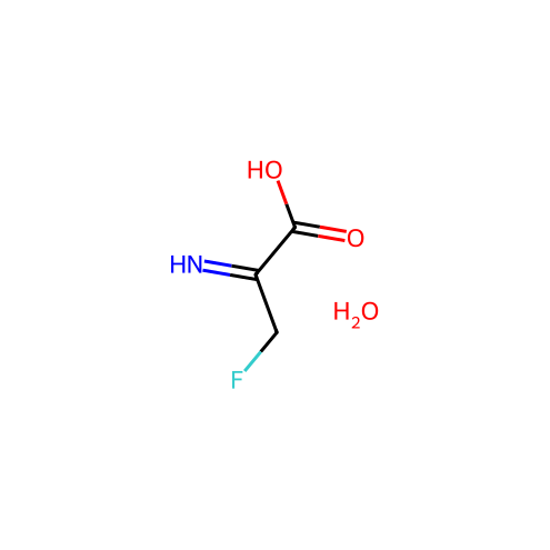 N=C(CF)C(=O)O.O